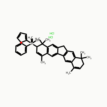 Cl.Cl.[CH2]=[Zr]([CH3])([C]1=CC=CC1)([c]1ccccc1)[CH]1C=C(C)c2cc3c(cc2C1(C)C)Cc1cc2c(cc1-3)C(C)=CCC2(C)C